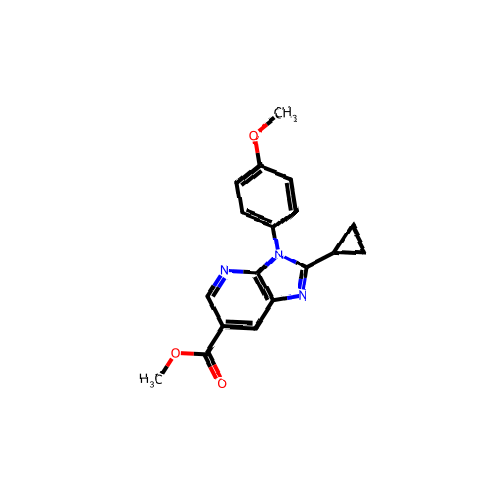 COC(=O)c1cnc2c(c1)nc(C1CC1)n2-c1ccc(OC)cc1